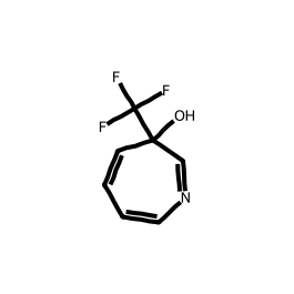 OC1(C(F)(F)F)C=CC=CN=C1